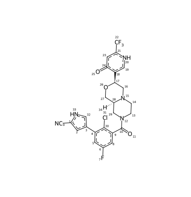 N#Cc1cc(-c2cc(F)cc(C(=O)N3CCN4C[C@H](c5c[nH]c(C(F)(F)F)cc5=O)OC[C@@H]4C3)c2Cl)c[nH]1